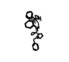 O=C([C@@H]1CCCN1Cc1ccccc1)N1CC[C@@](O)(c2ccccc2)[C@@H]2CCCCC21